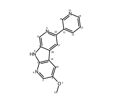 COc1cnc2[nH]c3cnc(-c4cccnc4)cc3c2c1